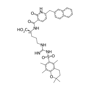 Cc1c(C)c(S(=O)(=O)NC(=N)NCCC[C@H](NC(=O)c2ccc(Cc3ccc4ccccc4c3)[nH]c2=O)C(=O)O)c(C)c2c1OC(C)(C)CC2